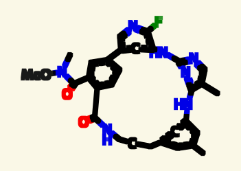 CON(C)C(=O)c1cc2ccc1C(=O)NCCCc1cc(C)cc(c1)Nc1nc(ncc1C)Nc1cc-2cnc1F